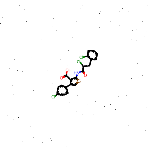 O=C(O)c1c(-c2ccc(Cl)cc2)csc1NC(=O)C(Cl)Cc1ccccc1Cl